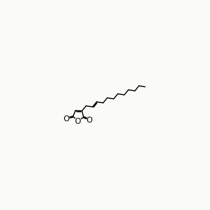 CCCCCCCCCC=CCC1=CC(=O)OC1=O